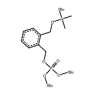 CC(C)(C)OP(=O)(OCc1ccccc1CO[Si](C)(C)C(C)(C)C)OC(C)(C)C